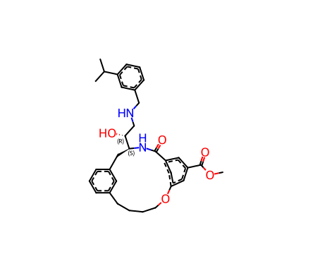 COC(=O)c1cc2cc(c1)C(=O)N[C@H]([C@H](O)CNCc1cccc(C(C)C)c1)Cc1cccc(c1)CCCCO2